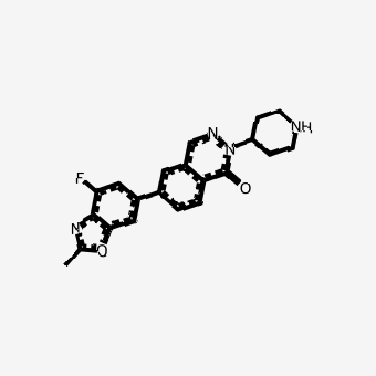 Cc1nc2c(F)cc(-c3ccc4c(=O)n(C5CCNCC5)ncc4c3)cc2o1